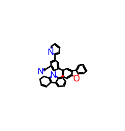 N#Cc1cc(-c2ccccn2)cc(-c2ccc3oc4ccccc4c3c2)c1-n1c2c(c3ccccc31)C=CCC2